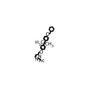 CC(=O)c1nccc(COc2ccc(C(C)(C)c3ccc(OCC4CCCCC4)cc3)cc2)n1